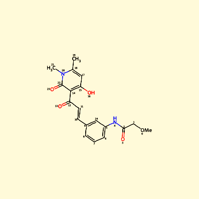 COCC(=O)Nc1cccc(C=CC(=O)c2c(O)cc(C)n(C)c2=O)c1